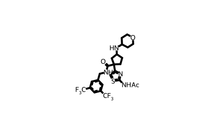 CC(=O)Nc1nc(C2(C(=O)NCc3cc(C(F)(F)F)cc(C(F)(F)F)c3)CCC(NC3CCOCC3)C2)cs1